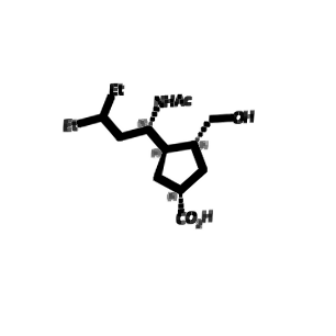 CCC(CC)C[C@H](NC(C)=O)[C@@H]1C[C@@H](C(=O)O)C[C@H]1CO